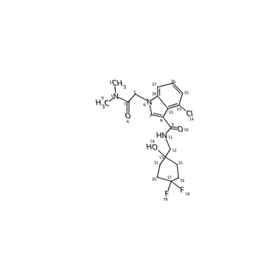 CN(C)C(=O)Cn1cc(C(=O)NCC2(O)CCC(F)(F)CC2)c2c(Cl)cccc21